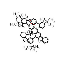 CC(C)(C)c1ccc(N2c3cc4oc5cc6c(cc5c4cc3B3c4c2cc2c(oc5ccccc52)c4-c2cc(C(C)(C)C)cc4c2N3C2(C)CCCCC42C)C(C)(C)CCC6(C)C)c(-c2ccccc2)c1